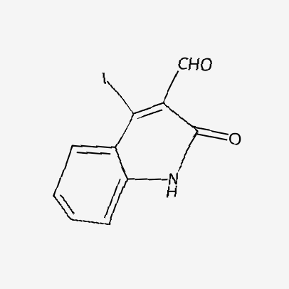 O=Cc1c(I)c2ccccc2[nH]c1=O